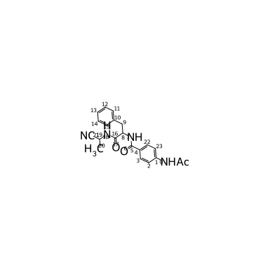 CC(=O)Nc1ccc(C(=O)NC(Cc2ccccc2)C(=O)NC(C)C#N)cc1